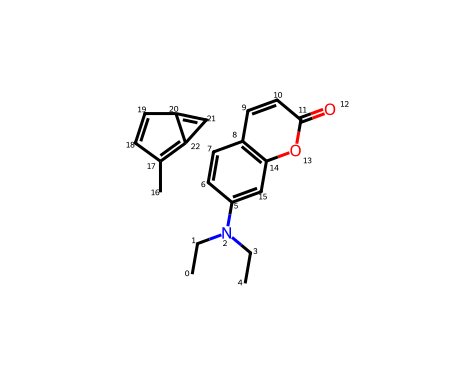 CCN(CC)c1ccc2ccc(=O)oc2c1.Cc1ccc2cc1-2